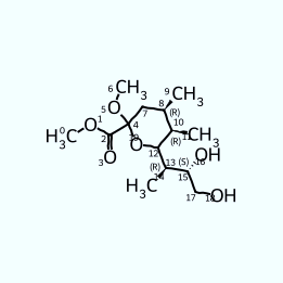 COC(=O)C1(OC)C[C@@H](C)[C@@H](C)C([C@H](C)[C@H](O)CO)O1